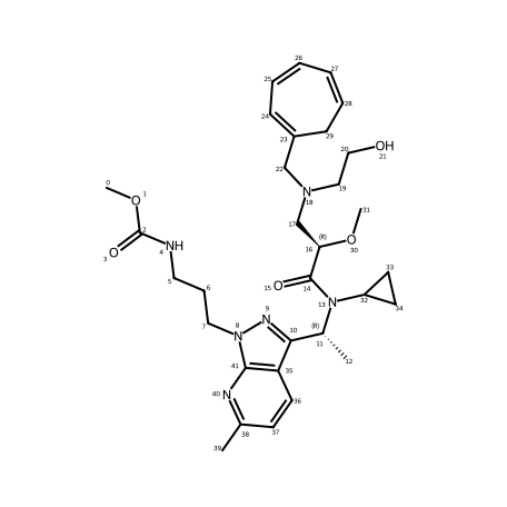 COC(=O)NCCCn1nc([C@@H](C)N(C(=O)[C@@H](CN(CCO)CC2=CC=CC=CC2)OC)C2CC2)c2ccc(C)nc21